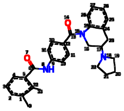 Cc1cccc(C(=O)Nc2ccc(C(=O)N3CC(N4CCCC4)Cc4ccccc43)cc2)c1C